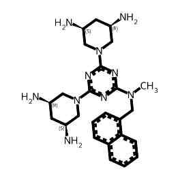 CN(Cc1cccc2ccccc12)c1nc(N2C[C@H](N)C[C@H](N)C2)nc(N2C[C@H](N)C[C@H](N)C2)n1